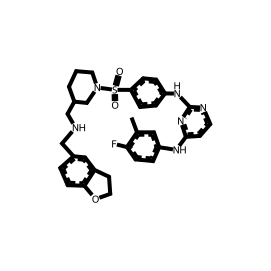 Cc1cc(Nc2ccnc(Nc3ccc(S(=O)(=O)N4CCCC(CNCc5ccc6c(c5)CCO6)C4)cc3)n2)ccc1F